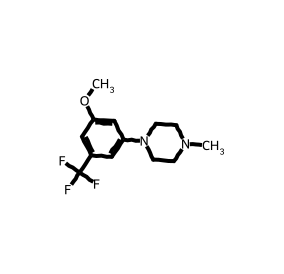 COc1cc(N2CCN(C)CC2)cc(C(F)(F)F)c1